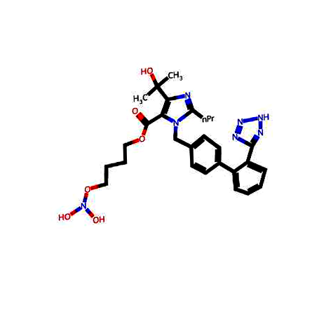 CCCc1nc(C(C)(C)O)c(C(=O)OCCCCON(O)O)n1Cc1ccc(-c2ccccc2-c2nn[nH]n2)cc1